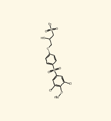 CCCCOc1c(Cl)cc(S(=O)(=O)c2ccc(OCC(O)CS(=O)(=O)CC)cc2)cc1Cl